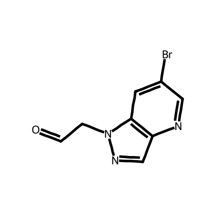 O=CCn1ncc2ncc(Br)cc21